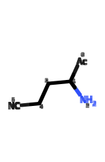 CC(=O)C(N)CCC#N